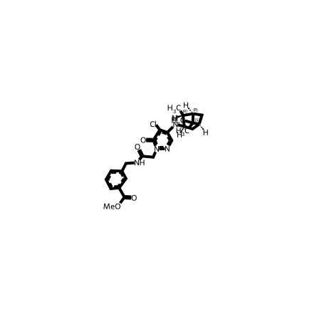 COC(=O)c1cccc(CNC(=O)Cn2ncc(N[C@@H]3C[C@@H]4C[C@H]([C@H]3C)C4(C)C)c(Cl)c2=O)c1